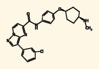 CN[C@H]1CC[C@@H](Oc2ccc(NC(=O)c3ccn4ncc(-c5cccc(Cl)c5)c4n3)cc2)CC1